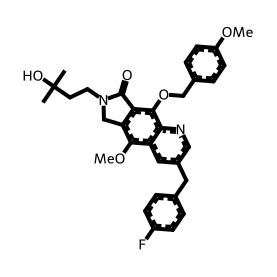 COc1ccc(COc2c3c(c(OC)c4cc(Cc5ccc(F)cc5)cnc24)CN(CCC(C)(C)O)C3=O)cc1